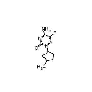 CC1CC[C@H](n2cc(F)c(N)nc2=O)O1